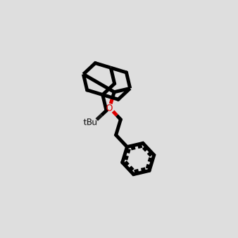 CC(C)(C)CC12CC3CC(C1)C(OCCc1ccccc1)C(C3)C2